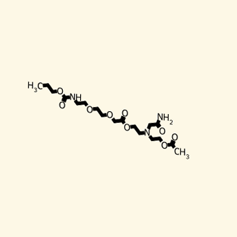 CCCOC(=O)NCCOCCOCC(=O)OCCN(CCOC(C)=O)CC(N)=O